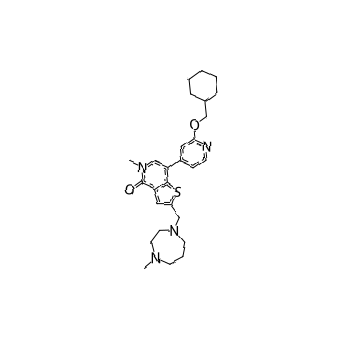 CN1CCCN(Cc2cc3c(=O)n(C)cc(-c4ccnc(OCC5CCCCC5)c4)c3s2)CC1